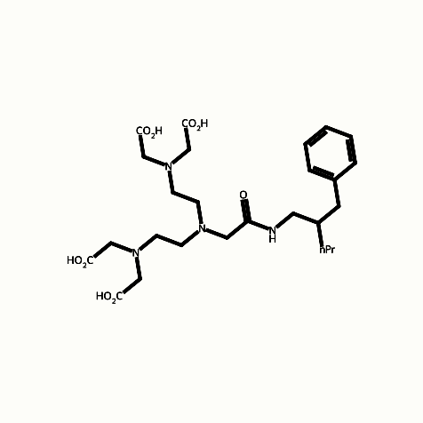 CCCC(CNC(=O)CN(CCN(CC(=O)O)CC(=O)O)CCN(CC(=O)O)CC(=O)O)Cc1ccccc1